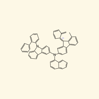 C=c1cccc/c1=C1\c2cc(N(c3ccc4c(c3)c3ccccc3n4-c3ccccc3-c3ccccc3)c3cccc4ccccc34)ccc2-c2cccc(C)c21